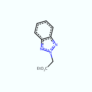 CCOC(=O)Cn1nc2ccccc2n1